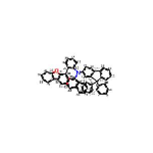 c1ccc(C2(c3ccccc3)c3ccccc3-c3ccc(N(c4ccccc4-c4cccc5c4oc4ccccc45)c4cccc5ccccc45)cc32)cc1